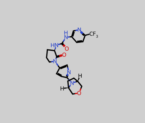 O=C(Nc1ccc(C(F)(F)F)nc1)N[C@@H]1CCCN(c2ccc(N3[C@@H]4CC[C@H]3COC4)nc2)C1=O